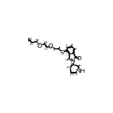 O=C1c2cccc(SCCOCCOCCI)c2CN1C1CCCNC1